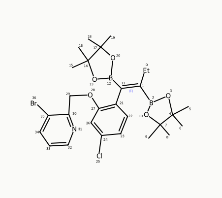 CC/C(B1OC(C)(C)C(C)(C)O1)=C(\B1OC(C)(C)C(C)(C)O1)c1ccc(Cl)cc1OCc1ncccc1Br